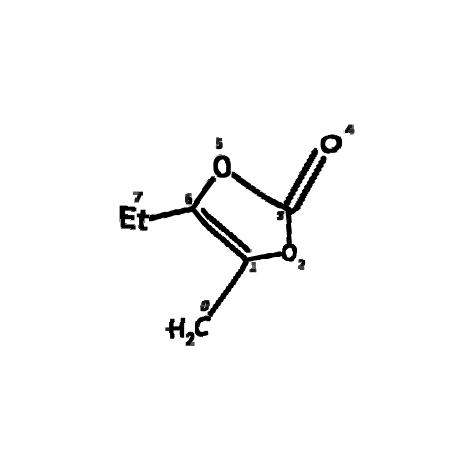 [CH2]c1oc(=O)oc1CC